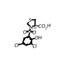 O=C(O)[C@@H]1CSCN1S(=O)(=O)c1cc(Cl)cc(Cl)c1O